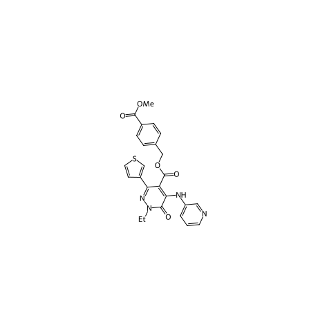 CCn1nc(-c2ccsc2)c(C(=O)OCc2ccc(C(=O)OC)cc2)c(Nc2cccnc2)c1=O